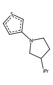 CC(C)C1CCN(c2ccsc2)C1